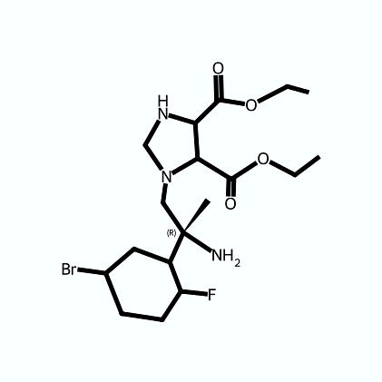 CCOC(=O)C1NCN(C[C@](C)(N)C2CC(Br)CCC2F)C1C(=O)OCC